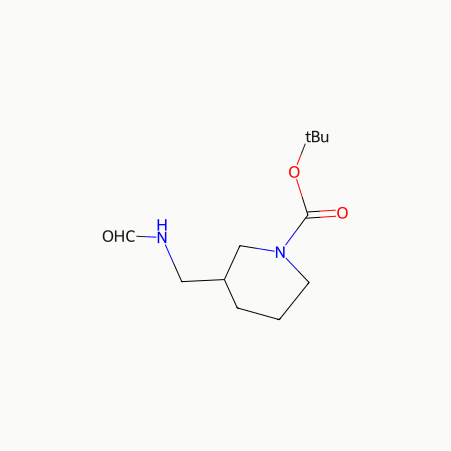 CC(C)(C)OC(=O)N1CCCC(CNC=O)C1